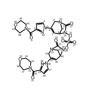 O=C(c1ccn(C2=CC3CN(C2)C(=O)N3OS(=O)(=O)ON2C(=O)N3CC(n4ccc(C(=O)N5CCOCC5)n4)=CC2C3)n1)N1CCOCC1